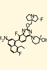 CCc1c(F)ccc2cc(N)cc(-c3ccc4c(N5CCC[C@@](C)(O)C5)nc(OC[C@@]56CCCN5C[C@H](F)C6)nc4c3F)c12